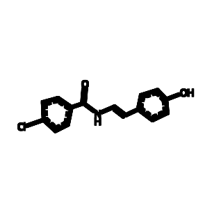 O=C(NC=Cc1ccc(O)cc1)c1ccc(Cl)cc1